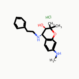 CNc1ccc2c(c1)OC(C)(C)[C@H](O)[C@H]2NCCc1ccccc1.Cl